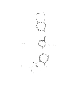 Br.CN(C)S(=O)(=O)c1cc(-c2csc(=Nc3ccc4c(c3)OCCO4)n2C)ccc1Cl